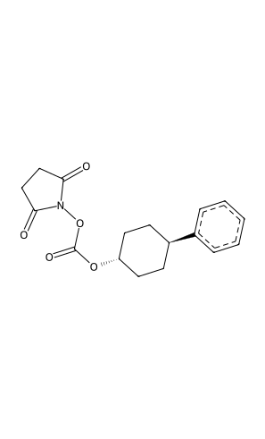 O=C(ON1C(=O)CCC1=O)O[C@H]1CC[C@H](c2ccccc2)CC1